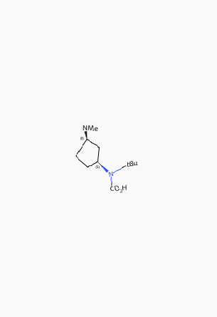 CN[C@@H]1CC[C@H](N(C(=O)O)C(C)(C)C)C1